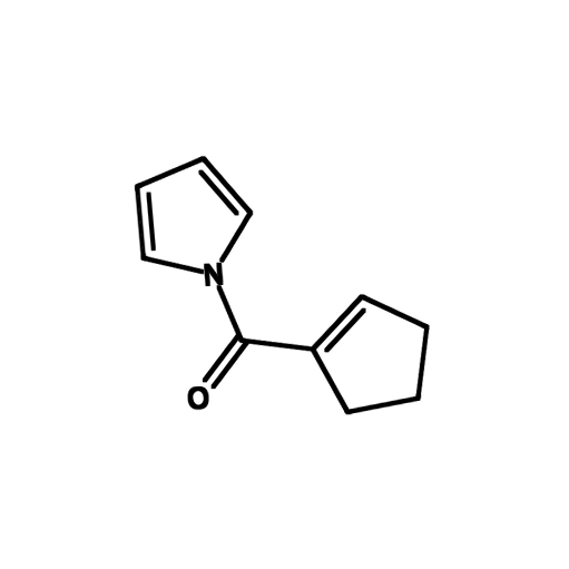 O=C(C1=CCCC1)n1cccc1